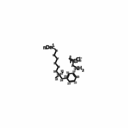 C=CCN.CCCCCCCCCCCCCCCC[N+](C)(C)Cc1ccccc1.Cl.[Cl-]